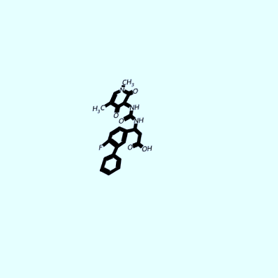 CC1=CN(C)C(=O)C(NC(=O)NC(CC(=O)O)c2ccc(F)c(-c3ccccc3)c2)C1=O